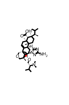 CC(C)[C@@H](C)[C@@]1(C)CC[C@]2(C)[C@H]3CC[C@@H]4[C@@]5(COC[C@@]4(C)[C@@H](OC[C@@H](C(C)C)N(C)C)[C@H](n4nnc(N)n4)C5)C3=CC[C@@]2(C)[C@@H]1C(=O)O